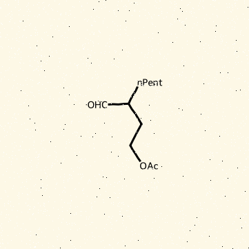 CCCCCC([C]=O)CCOC(C)=O